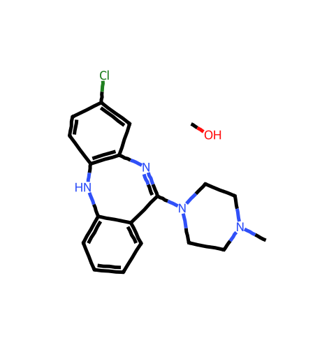 CN1CCN(C2=Nc3cc(Cl)ccc3Nc3ccccc32)CC1.CO